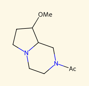 COC1CCN2CCN(C(C)=O)CC12